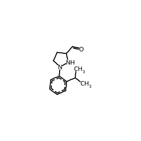 CC(C)c1ccccc1N1CCC(C=O)N1